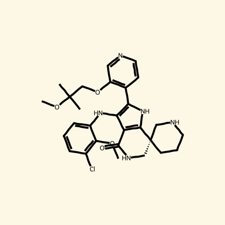 COc1c(Cl)cccc1Nc1c(-c2ccncc2OCC(C)(C)OC)[nH]c2c1C(=O)NC[C@]21CCCNC1